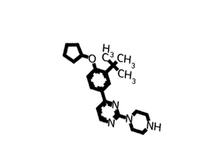 CC(C)(C)c1cc(-c2ccnc(N3CCNCC3)n2)ccc1OC1CCCC1